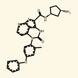 Cc1cc(Oc2ccccc2)ccc1N1C(=O)Nc2c(C(=O)N[C@H]3CC[C@@H](N)C3)sc3nccc1c23